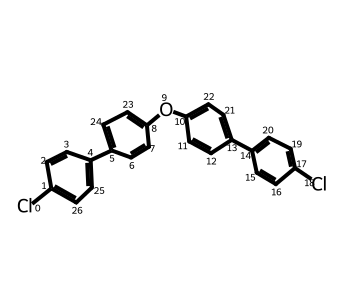 Clc1ccc(-c2ccc(Oc3ccc(-c4ccc(Cl)cc4)cc3)cc2)cc1